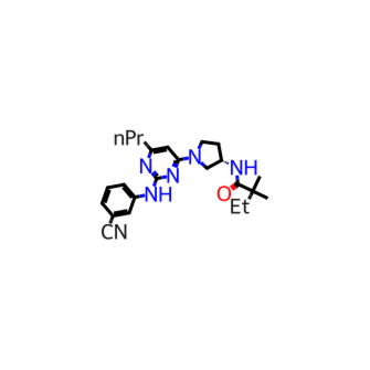 CCCc1cc(N2CC[C@H](NC(=O)C(C)(C)CC)C2)nc(Nc2cccc(C#N)c2)n1